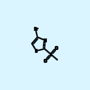 CS(=O)(=O)c1nc(Br)cs1